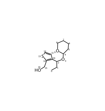 CCC(OC1CCCCO1)c1ccsc1CO